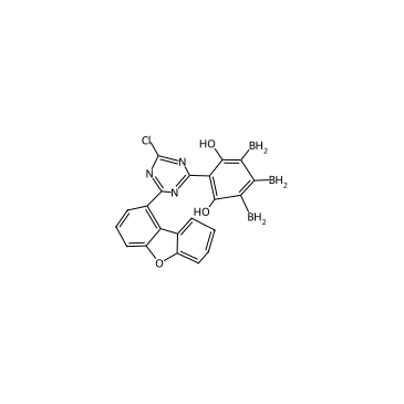 Bc1c(B)c(O)c(-c2nc(Cl)nc(-c3cccc4oc5ccccc5c34)n2)c(O)c1B